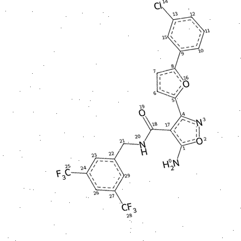 Nc1onc(-c2ccc(-c3cccc(Cl)c3)o2)c1C(=O)NCc1cc(C(F)(F)F)cc(C(F)(F)F)c1